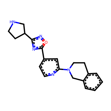 c1ccc2c(c1)CCN(c1cc(-c3nc(C4CCNC4)no3)ccn1)C2